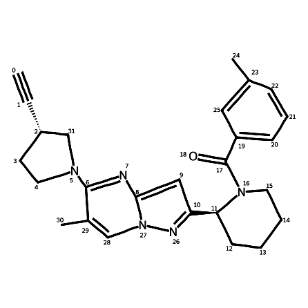 C#C[C@H]1CCN(c2nc3cc([C@@H]4CCCCN4C(=O)c4cccc(C)c4)nn3cc2C)C1